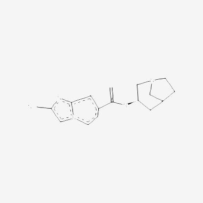 N#Cc1cn2ccc(C(=O)N[C@@H]3C[C@@H]4CCN(C4)C3)cc2n1